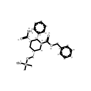 CC(C)(C)[Si](C)(C)OC[C@@H]1C[C@H](C(N)=O)[C@H](c2ccccc2)N(C(=O)OCc2ccccc2)C1